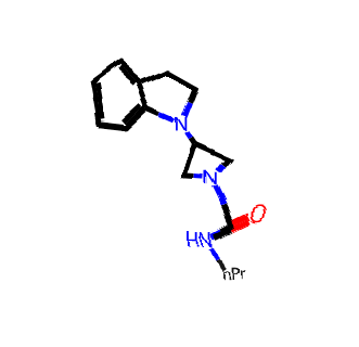 CCCNC(=O)N1CC(N2CCc3ccccc32)C1